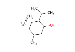 C=C.CC1CCC(C(C)C)C(O)C1